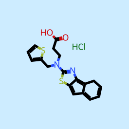 Cl.O=C(O)CCN(Cc1cccs1)c1nc2c(s1)=CC1=CC=CCC=21